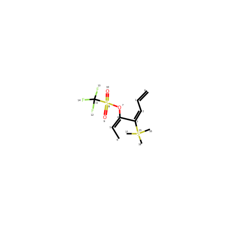 C=C/C=C(\C(=C/C)OS(=O)(=O)C(F)(F)F)S(C)(C)C